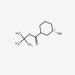 CC(C)(C)OC(=O)C1CCC[C@H](O)C1